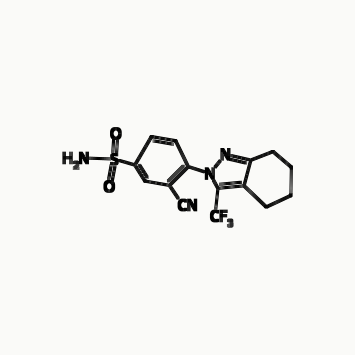 N#Cc1cc(S(N)(=O)=O)ccc1-n1nc2c(c1C(F)(F)F)CCCC2